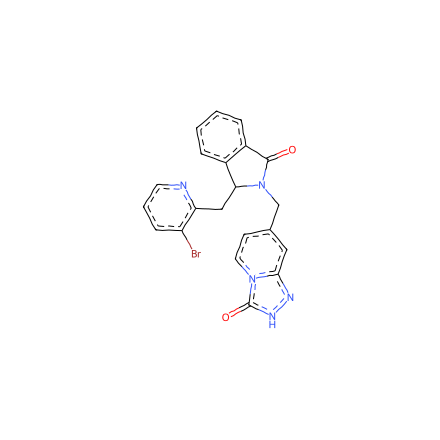 O=C1c2ccccc2C(Cc2ncccc2Br)N1Cc1ccn2c(=O)[nH]nc2c1